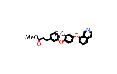 COC(=O)CCc1cccc(Oc2ccc(Oc3cccc4ccncc34)cc2C(F)(F)F)c1